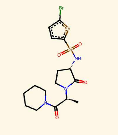 C[C@@H](C(=O)N1CCCCC1)N1CC[C@H](NS(=O)(=O)c2ccc(Br)s2)C1=O